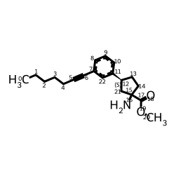 CCCCCC#Cc1cccc([C@H]2CCC(N)(C(=O)OC)C2)c1